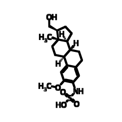 COc1cc2c(cc1NS(=O)(=O)O)CC[C@@H]1[C@@H]2CC[C@]2(C)[C@@H](CO)CC[C@@H]12